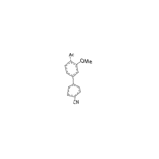 COc1cc(-c2ccc(C#N)cc2)ccc1C(C)=O